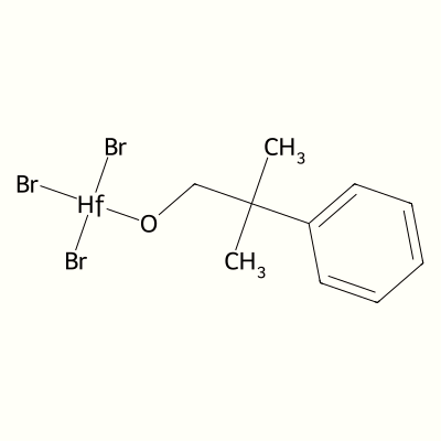 CC(C)(C[O][Hf]([Br])([Br])[Br])c1ccccc1